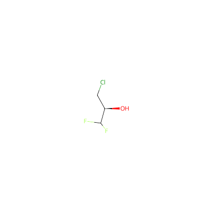 O[C@H](CCl)C(F)F